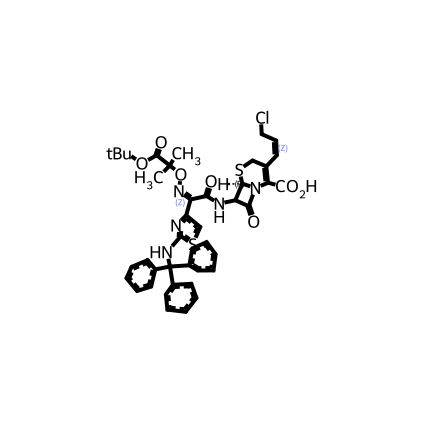 CC(C)(C)OC(=O)C(C)(C)O/N=C(\C(=O)NC1C(=O)N2C(C(=O)O)=C(/C=C\CCl)CS[C@H]12)c1csc(NC(c2ccccc2)(c2ccccc2)c2ccccc2)n1